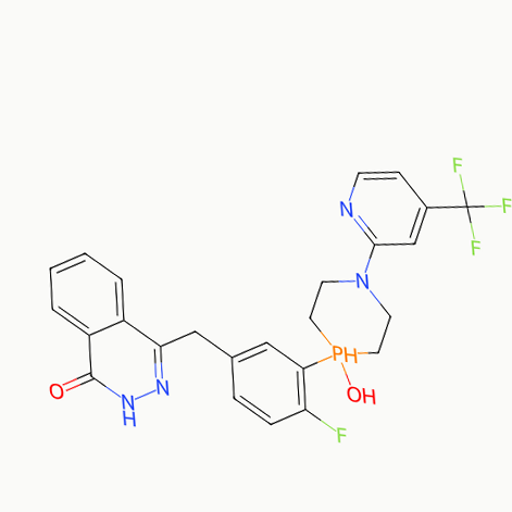 O=c1[nH]nc(Cc2ccc(F)c([PH]3(O)CCN(c4cc(C(F)(F)F)ccn4)CC3)c2)c2ccccc12